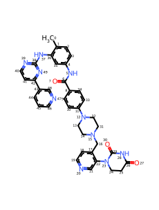 Cc1ccc(NC(=O)c2ccc(N3CCN(Cc4ccncc4N4CCC(=O)NC4=O)CC3)cc2)cc1Nc1nccc(-c2cccnc2)n1